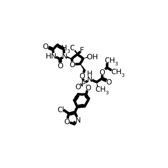 CC(C)OC(=O)[C@H](C)NP(=O)(OC[C@H]1O[C@@H](n2ccc(=O)[nH]c2=O)[C@](C)(F)[C@@H]1O)Oc1ccc(-c2ncoc2Cl)cc1